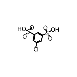 O=S(=O)(O)c1cc(Cl)cc(S(=O)(=O)O)c1